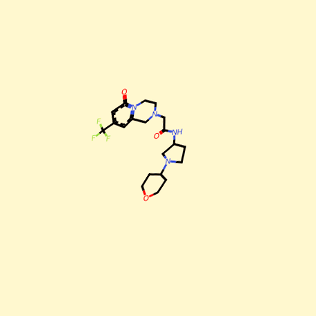 O=C(CN1CCn2c(cc(C(F)(F)F)cc2=O)C1)NC1CCN(C2CCOCC2)C1